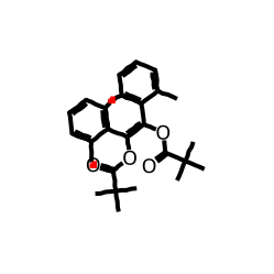 Cc1cccc(C)c1C(OC(=O)C(C)(C)C)=C(OC(=O)C(C)(C)C)c1c(C)cccc1C